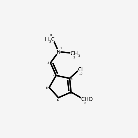 CN(C)C=C1CCC(C=O)=C1Cl